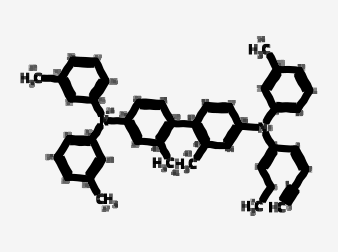 C#C/C=C\C(=C/CC)N(c1cccc(C)c1)c1ccc(-c2ccc(N(c3cccc(C)c3)c3cccc(C)c3)cc2C)c(C)c1